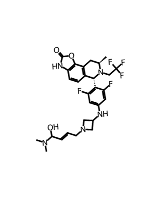 C[C@@H]1Cc2c(ccc3[nH]c(=O)oc23)[C@@H](c2c(F)cc(NC3CN(C/C=C/C(O)N(C)C)C3)cc2F)N1CC(F)(F)F